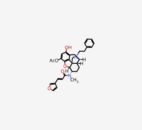 CC(=O)Oc1cc(O)c2c3c1O[C@H]1[C@@H](N(C)C(=O)/C=C/c4ccoc4)CC[C@H]4[C@@H](C2)N(CCc2ccccc2)CC[C@@]341